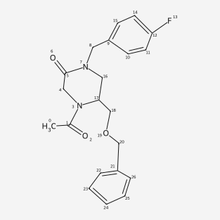 CC(=O)N1CC(=O)N(Cc2ccc(F)cc2)CC1COCc1ccccc1